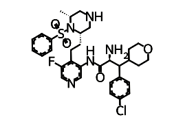 C[C@@H]1CNC[C@H](CCc2c(F)cncc2NC(=O)[C@@H](N)C(c2ccc(Cl)cc2)C2CCOCC2)N1S(=O)(=O)c1ccccc1